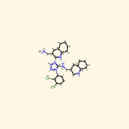 Clc1cccc(-n2nnnc2NCc2cnc3ccccc3c2)c1Cl.NCc1cnc2ccccc2c1